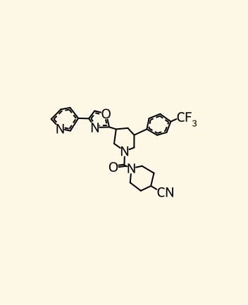 N#CC1CCN(C(=O)N2CC(c3ccc(C(F)(F)F)cc3)CC(c3nc(-c4cccnc4)co3)C2)CC1